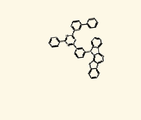 c1ccc(-c2cccc(-c3nc(-c4ccccc4)nc(-c4cccc(-n5c6ccccc6c6ccc7c(c65)Cc5ccccc5-7)c4)n3)c2)cc1